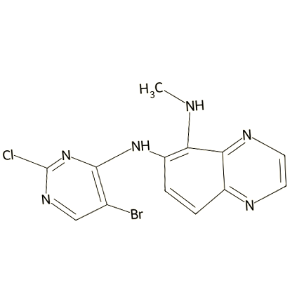 CNc1c(Nc2nc(Cl)ncc2Br)ccc2nccnc12